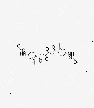 COCON[C@@H]1CC[C@@H](C(=O)OC(=O)C(=O)OC(=O)[C@@H]2CC[C@@H](NOCOC)CN2)NC1